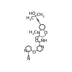 CN1C(=O)[C@@H](NC(=O)c2cc(Oc3cccnc3C#N)ccn2)COc2ccc(C#CC(C)(C)O)cc21